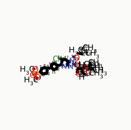 COP(=O)(OC)c1ccc(-c2ccc(-c3nc4nc(O[C@H]5CO[C@@H]6CO[Si](C(C)(C)C)(C(C)(C)C)O[C@@H]56)n(COCC[Si](C)(C)C)c4cc3Cl)cc2)cc1